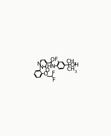 CC(C)(O)c1ccc(NC(=O)c2ccnn(-c3ccccc3OCC(F)F)c2=O)c(F)c1